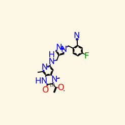 C=C(OC)[C@H]1C(=O)Nc2c(cc(NCc3cnn(Cc4ccc(F)cc4C#N)c3)nc2C)N1C